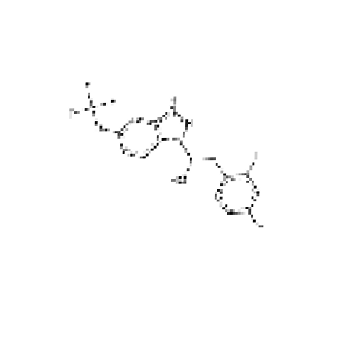 OC(Cc1ccc(F)cc1F)c1n[nH]c2cc(OC(F)(F)F)ccc12